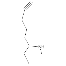 [C]#CCCCC(CC)NC